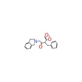 O=C(CN1CCc2ccccc2C1)C(Cc1ccccc1)C1=COCO1